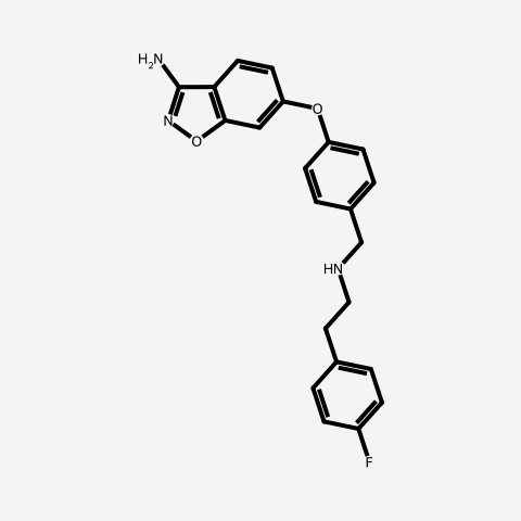 Nc1noc2cc(Oc3ccc(CNCCc4ccc(F)cc4)cc3)ccc12